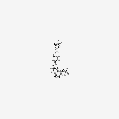 CC(C)(CCc1ccc(OCC2COC(C)(C)O2)cc1)C[C@@H](CN)NC(=O)OC(C)(C)C